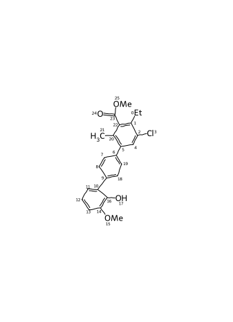 CCc1c(Cl)cc(-c2ccc(-c3cccc(OC)c3O)cc2)c(C)c1C(=O)OC